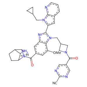 COc1cc(C(=O)N2CC3CCC2[C@@H]3N)cc2nc(-c3cc4cccnc4n3CC3CC3)n(CC3CN(C(=O)c4cnc(C#N)nc4)C3)c12